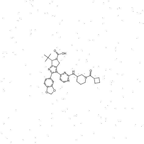 CC(C)(C)C1c2nc(-c3ccc4c(c3)OCO4)n(-c3ccnc(NC4CCCN(C(=O)C5CCC5)C4)n3)c2CN1C(=O)O